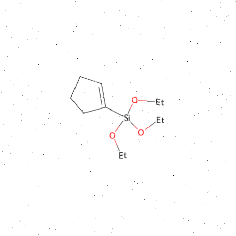 CCO[Si](OCC)(OCC)C1=CCCC1